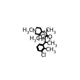 Cc1c(Cl)cccc1C(C)NC(=O)N(C)C1CCN(C)CC1(C)C